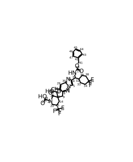 O=C(NC(c1cn2nc(CC3(C(=O)O)C[C@@H](C(F)(F)F)CN(C(=O)O)C3=O)c(Cl)cc2n1)C1CCC(F)(F)CC1)OCc1ccccc1